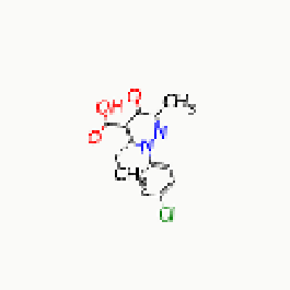 CCc1c(C(=O)O)c(=O)c(C)nn1-c1ccc(Cl)cc1